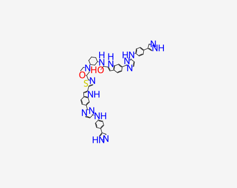 OC(NC1CCCC(N2CCOC(c3ncc(-c4cc5ccc(-c6nccc(Nc7ccc(-c8cn[nH]c8)cc7)n6)cc5[nH]4)s3)C2)C1)c1cc2ccc(-c3nccc(Nc4ccc(-c5cn[nH]c5)cc4)n3)cc2[nH]1